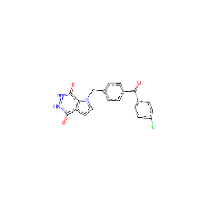 O=C(c1ccc(Cl)cc1)c1ccc(Cn2ccc3c(=O)[nH][nH]c(=O)c32)cc1